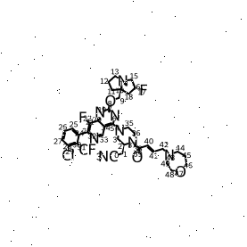 N#CC[C@H]1CN(c2nc(OC[C@@]34CCCN3C[C@H](F)C4)nc3c(F)c(-c4cccc(Cl)c4C(F)(F)F)ncc23)CCN1C(=O)/C=C/CN1CCCOCC1